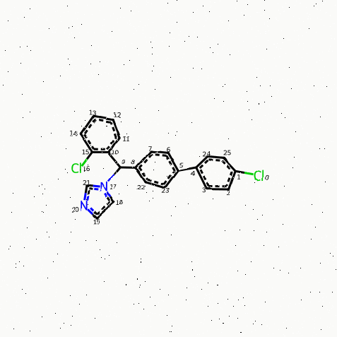 Clc1ccc(-c2ccc(C(c3ccccc3Cl)n3ccnc3)cc2)cc1